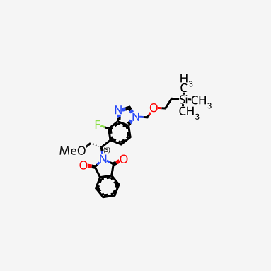 COC[C@H](c1ccc2c(ncn2COCC[Si](C)(C)C)c1F)N1C(=O)c2ccccc2C1=O